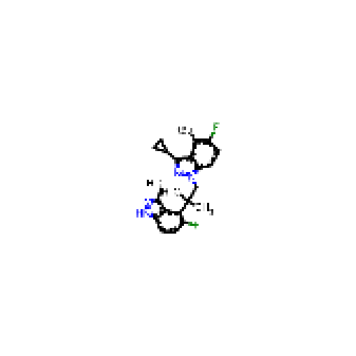 Cc1n[nH]c2ccc(F)c(C(C)(C)Cn3nc(C4CC4)c4c(C(C)(C)C)c(F)ccc43)c12